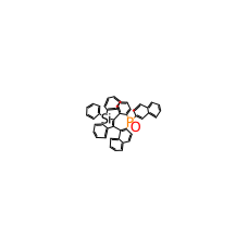 O=P1(c2ccc3ccccc3c2)c2ccccc2C2=C(c3ccccc3[Si]2(c2ccccc2)c2ccccc2)c2c1ccc1ccccc21